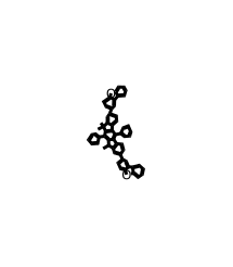 CC1c2cc(-c3ccc4oc5ccccc5c4c3)ccc2-c2c(-c3ccccc3)c3c(c(-c4ccccc4)c21)C(C)(C)c1cc(-c2ccc4oc5ccccc5c4c2)ccc1-3